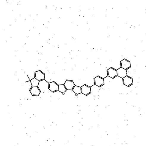 CC1(C)c2ccccc2-c2c(-c3ccc4oc5c(ccc6c7cc(-c8ccc(-c9ccc%10c%11ccccc%11c%11ccccc%11c%10c9)cc8)ccc7oc65)c4c3)cccc21